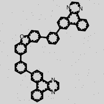 c1cc(-c2ccc3oc4ccc(-c5cccc(-c6ccc7c(c6)c6ccccc6c6nccnc76)c5)cc4c3c2)cc(-c2ccc3c(c2)c2ccccc2c2nccnc32)c1